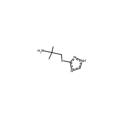 CC(C)(N)CSc1nc[nH]n1